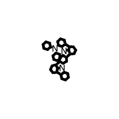 c1ccc(N(c2ccccc2)c2cccc3c4cccc5c6cc7c(cc6n(c23)c54)c2cccc3c4ccccc4n7c32)cc1